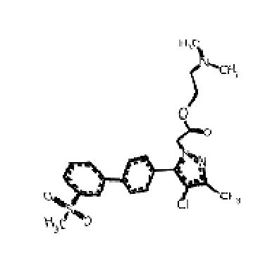 Cc1nn(CC(=O)OCCN(C)C)c(-c2ccc(-c3cccc(S(C)(=O)=O)c3)cc2)c1Cl